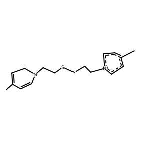 CC1=CCN(CCSSCC[n+]2ccc(C)cc2)C=C1